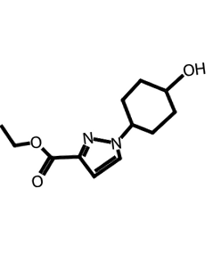 CCOC(=O)c1ccn(C2CCC(O)CC2)n1